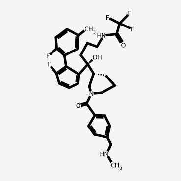 CNCc1ccc(C(=O)N2CCC[C@@H]([C@@](O)(CCCNC(=O)C(F)(F)F)c3cccc(F)c3-c3cc(C)ccc3F)C2)cc1